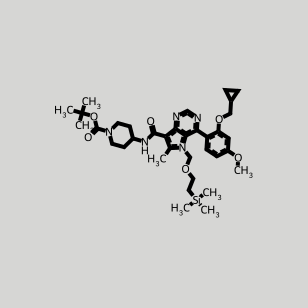 COc1ccc(-c2ncnc3c(C(=O)NC4CCN(C(=O)OC(C)(C)C)CC4)c(C)n(COCC[Si](C)(C)C)c23)c(OCC2CC2)c1